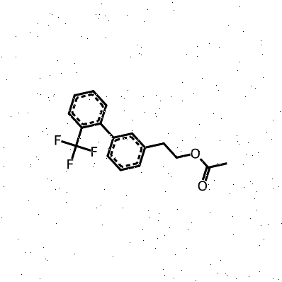 CC(=O)OCCc1cccc(-c2ccccc2C(F)(F)F)c1